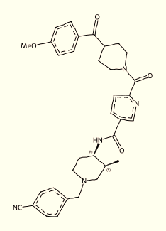 COc1ccc(C(=O)C2CCN(C(=O)c3ccc(C(=O)N[C@@H]4CCN(Cc5ccc(C#N)cc5)C[C@@H]4C)cn3)CC2)cc1